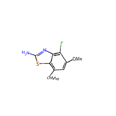 COc1cc(OC)c2sc(N)nc2c1F